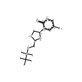 CC(C)(C)[Si](C)(C)OC[C@@H]1O[C@H](n2cc(F)cnc2=O)CS1